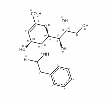 CCC(Cc1ccccc1)N[C@H]1[C@H]([C@H](O)[C@H](O)CO)OC(C(=O)O)=C[C@@H]1O